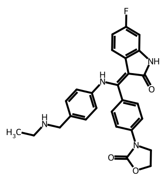 CCNCc1ccc(NC(=C2C(=O)Nc3cc(F)ccc32)c2ccc(N3CCOC3=O)cc2)cc1